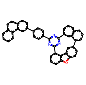 c1ccc(-c2ccc3oc4cccc(-c5nc(-c6ccccc6)nc(-c6ccc(-c7ccc8ccc9ccccc9c8c7)cc6)n5)c4c3c2)cc1